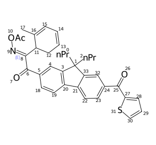 CCCC1(CCC)c2cc(C(=O)/C(=N/OC(C)=O)C3CC=CC=C3C)ccc2-c2ccc(C(=O)c3cccs3)cc21